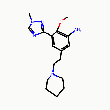 COc1c(N)cc(CCN2CCCCC2)cc1-c1ncn(C)n1